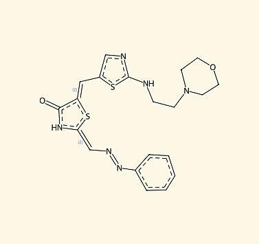 O=c1[nH]/c(=C/N=Nc2ccccc2)s/c1=C\c1cnc(NCCN2CCOCC2)s1